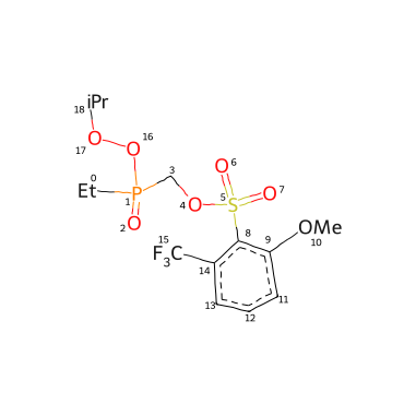 CCP(=O)(COS(=O)(=O)c1c(OC)cccc1C(F)(F)F)OOC(C)C